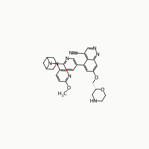 COc1ccc(CN2C3CC2CN(c2ccc(-c4cc(OC[C@H]5CNCCO5)cc5nncc(C#N)c45)cn2)C3)cn1